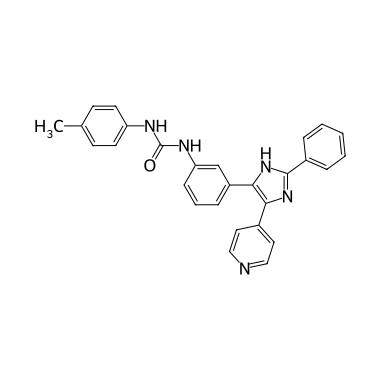 Cc1ccc(NC(=O)Nc2cccc(-c3[nH]c(-c4ccccc4)nc3-c3ccncc3)c2)cc1